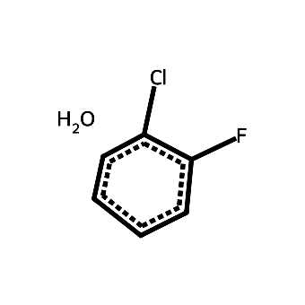 Fc1ccccc1Cl.O